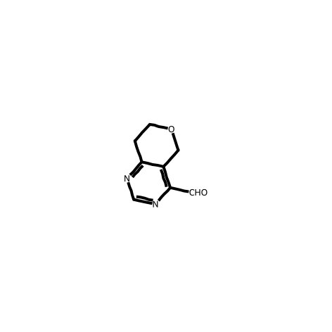 O=Cc1ncnc2c1COCC2